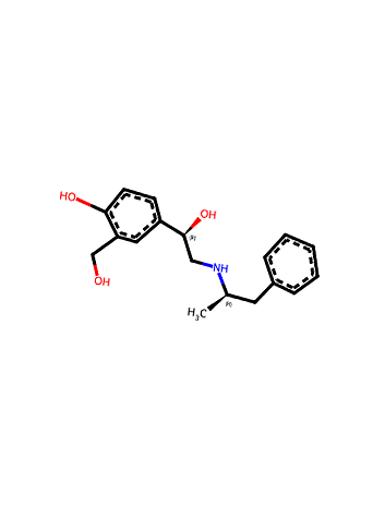 C[C@H](Cc1ccccc1)NC[C@H](O)c1ccc(O)c(CO)c1